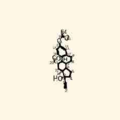 C#C[C@]1(O)CCC2C3CCc4cc(OC(=O)CC)ccc4C3CC[C@@]21C.CC(=O)O